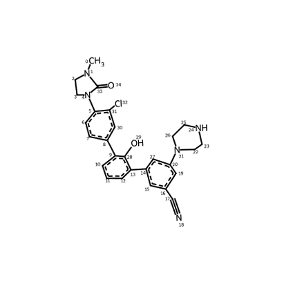 CN1CCN(c2ccc(-c3cccc(-c4cc(C#N)cc(N5CCNCC5)c4)c3O)cc2Cl)C1=O